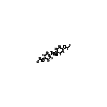 CCOc1ccc([Te][Te]c2ccc(OCC)cc2)cc1